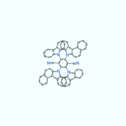 N#Cc1c(-n2c3ccccc3c3ccccc32)c(-n2c3ccccc3c3c4ccccc4ccc32)c(C#N)c(-n2c3ccccc3c3ccccc32)c1-n1c2ccccc2c2c3ccccc3ccc21